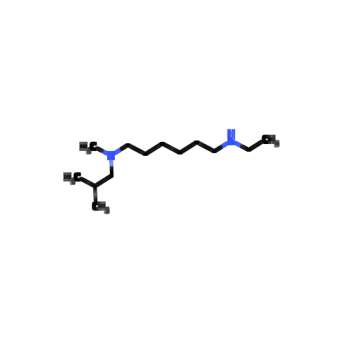 CCNCCCCCCN(C)CC(C)C